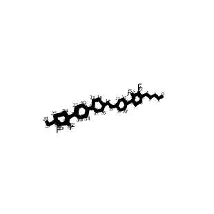 CCCCCc1ccc(C2CCC(CCC3CCC(C4CC=C(c5ccc(CC)c(F)c5F)CC4)CC3)CC2)c(F)c1F